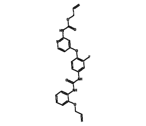 C=CCOC(=O)Nc1cc(Oc2ccc(NC(=O)Nc3ccccc3OCC=C)cc2F)ccn1